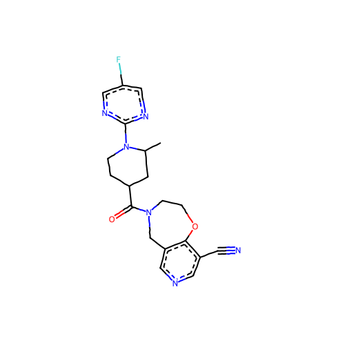 CC1CC(C(=O)N2CCOc3c(C#N)cncc3C2)CCN1c1ncc(F)cn1